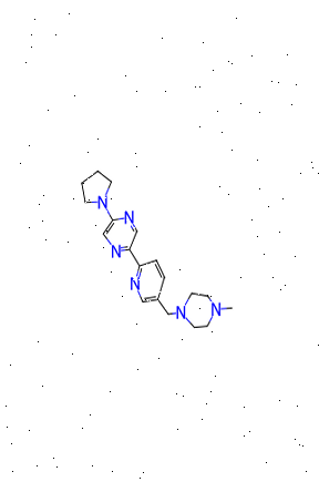 CN1CCN(Cc2ccc(-c3cnc(N4CCCC4)cn3)nc2)CC1